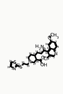 COc1ccc2ncc(Cl)c([C@H](N)CCC3CCN(CCSc4nccs4)CC3C(=O)O)c2c1